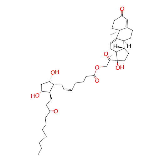 CCCCCCCC(=O)CC[C@@H]1[C@@H](C/C=C\CCCC(=O)OCC(=O)[C@@]2(O)CC[C@H]3[C@@H]4CCC5=CC(=O)CC[C@]5(C)C4=CC[C@@]32C)[C@@H](O)C[C@H]1O